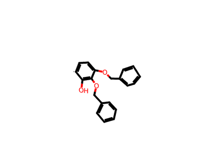 Oc1[c]ccc(OCc2ccccc2)c1OCc1ccccc1